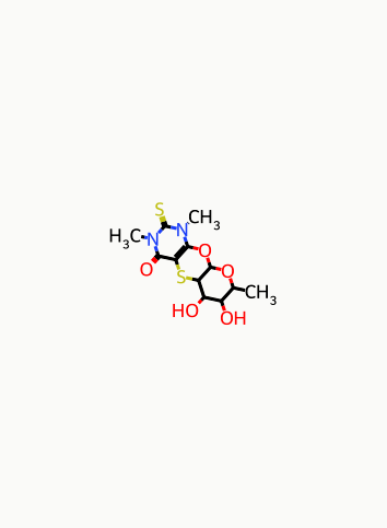 CC1OC2Oc3c(c(=O)n(C)c(=S)n3C)SC2C(O)C1O